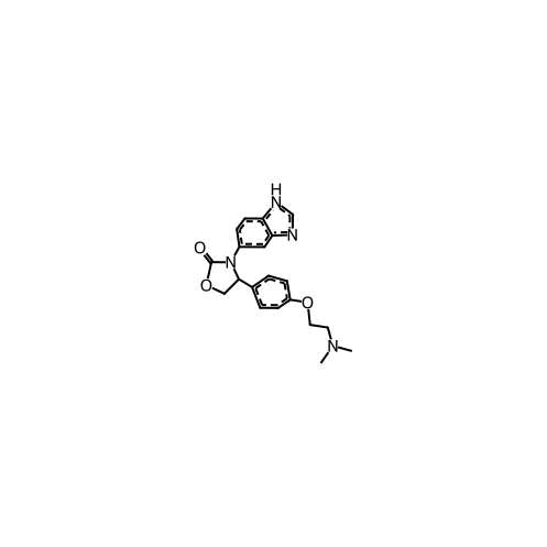 CN(C)CCOc1ccc(C2COC(=O)N2c2ccc3[nH]cnc3c2)cc1